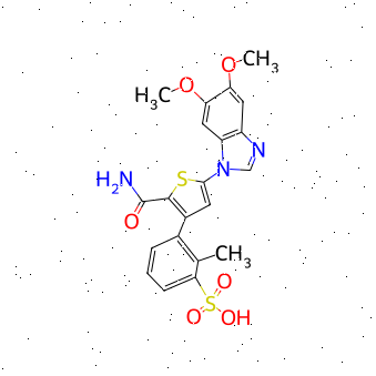 COc1cc2ncn(-c3cc(-c4cccc(S(=O)(=O)O)c4C)c(C(N)=O)s3)c2cc1OC